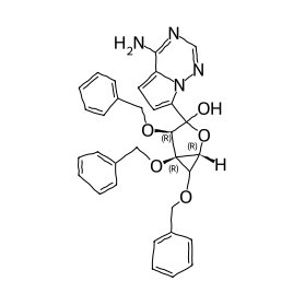 Nc1ncnn2c(C3(O)O[C@@H]4C(OCc5ccccc5)[C@]4(OCc4ccccc4)[C@H]3OCc3ccccc3)ccc12